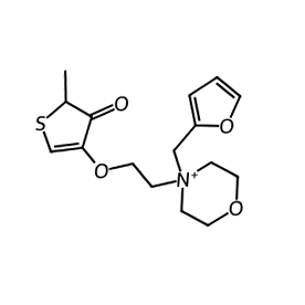 CC1SC=C(OCC[N+]2(Cc3ccco3)CCOCC2)C1=O